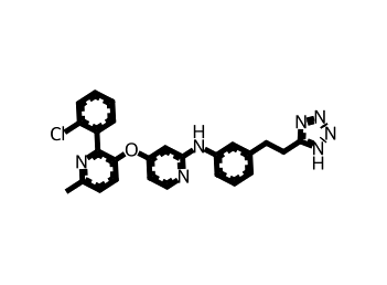 Cc1ccc(Oc2ccnc(Nc3cccc(CCc4nnn[nH]4)c3)c2)c(-c2ccccc2Cl)n1